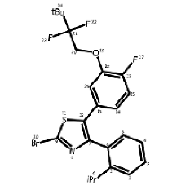 CC(C)c1ccccc1-c1nc(Br)sc1-c1ccc(F)c(OCC(F)(F)C(C)(C)C)c1